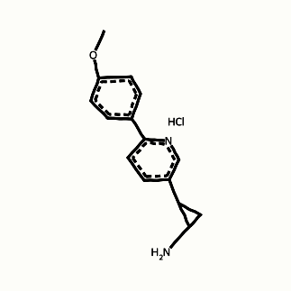 COc1ccc(-c2ccc(C3CC3N)cn2)cc1.Cl